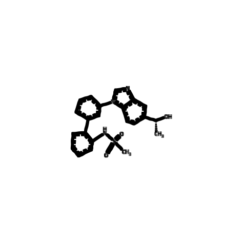 C[C@@H](O)c1ccc2c(c1)ncn2-c1cccc(-c2ccccc2NS(C)(=O)=O)c1